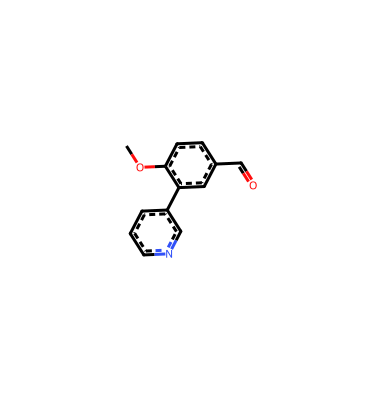 COc1ccc(C=O)cc1-c1cccnc1